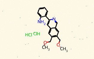 COCc1cc2cnc(-c3ccccc3N)cc2cc1COC.Cl.Cl